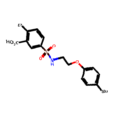 CCc1ccc(S(=O)(=O)NCCOc2ccc(C(C)(C)C)cc2)cc1C(=O)O